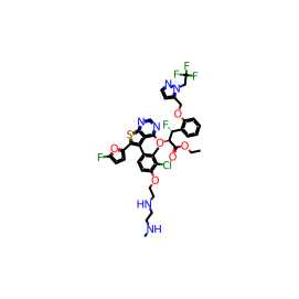 CCOC(=O)[C@@H](Oc1ncnc2sc(-c3ccc(F)o3)c(-c3ccc(OCCNCCNC)c(Cl)c3C)c12)[C@H](F)c1ccccc1OCc1ccnn1CC(F)(F)F